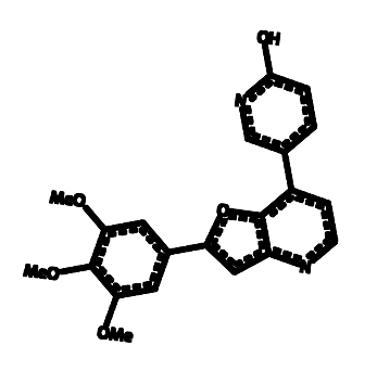 COc1cc(-c2cc3nccc(-c4ccc(O)nc4)c3o2)cc(OC)c1OC